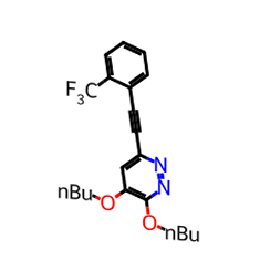 CCCCOc1cc(C#Cc2ccccc2C(F)(F)F)nnc1OCCCC